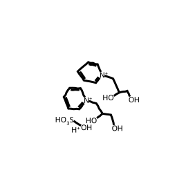 O=S(=O)(O)O.OCC(O)C[n+]1ccccc1.OCC(O)C[n+]1ccccc1.[H+]